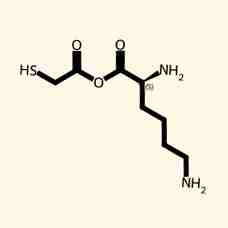 NCCCC[C@H](N)C(=O)OC(=O)CS